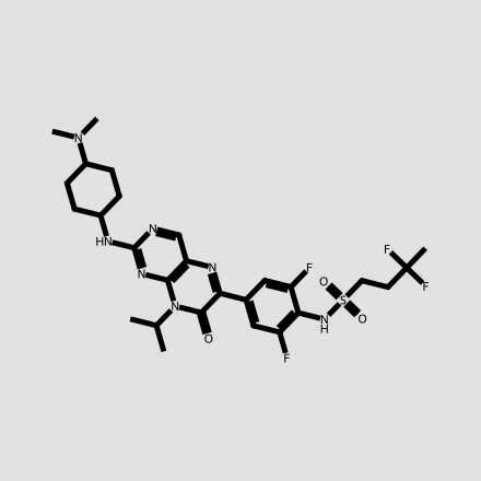 CC(C)n1c(=O)c(-c2cc(F)c(NS(=O)(=O)CCC(C)(F)F)c(F)c2)nc2cnc(NC3CCC(N(C)C)CC3)nc21